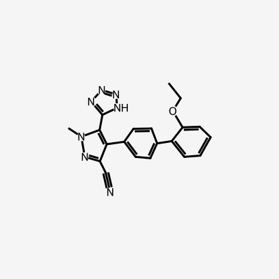 CCOc1ccccc1-c1ccc(-c2c(C#N)nn(C)c2-c2nnn[nH]2)cc1